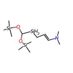 CN(C)C=CC[SiH2]C(O[Si](C)(C)C)O[Si](C)(C)C